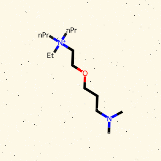 CCC[N+](CC)(CCC)CCOCCCN(C)C